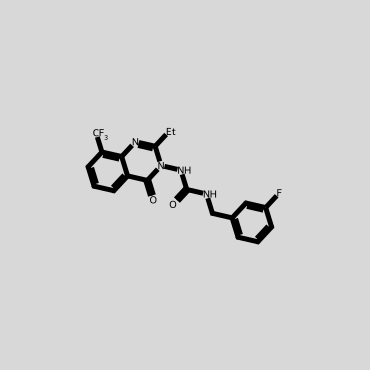 CCc1nc2c(C(F)(F)F)cccc2c(=O)n1NC(=O)NCc1cccc(F)c1